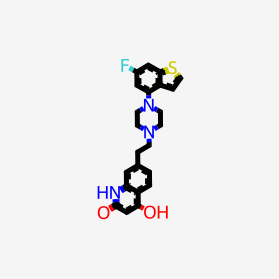 O=c1cc(O)c2ccc(CCN3CCN(c4cc(F)cc5sccc45)CC3)cc2[nH]1